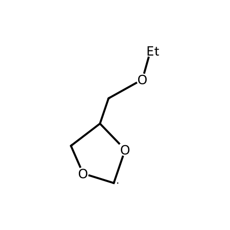 CCOCC1CO[CH]O1